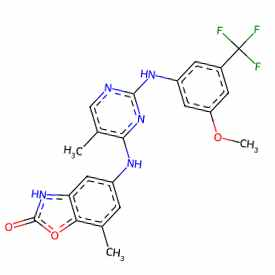 COc1cc(Nc2ncc(C)c(Nc3cc(C)c4oc(=O)[nH]c4c3)n2)cc(C(F)(F)F)c1